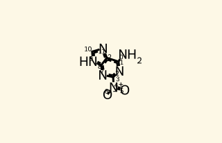 Nc1nc([N+](=O)[O-])nc2[nH]cnc12